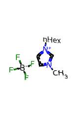 CCCCCC[n+]1ccn(C)c1.F[B-](F)(F)F